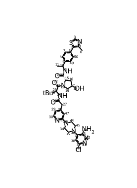 Cc1ncsc1-c1ccc(C(C)NC(=O)[C@@H]2C[C@@H](O)CN2C(=O)C(NC(=O)Cc2ccnc(N3CCN(c4cc(Cl)nnc4N)CC3)c2)C(C)(C)C)cc1